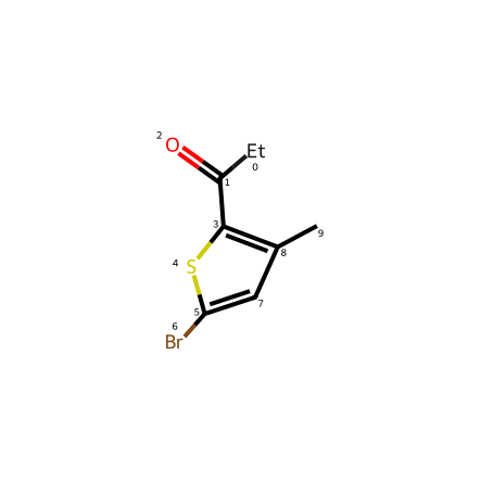 CCC(=O)c1sc(Br)cc1C